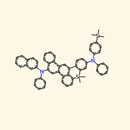 C[Si](C)(C)c1ccc(N(c2ccccc2)c2ccc3c(c2)[Si](C)(C)c2cccc4c2c-3cc2c3ccccc3c(N(c3ccccc3)c3ccc5ccccc5c3)cc42)cc1